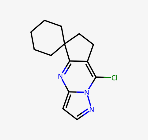 Clc1c2c(nc3ccnn13)C1(CCCCC1)CC2